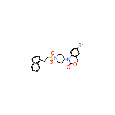 O=C1OCc2cc(Br)ccc2N1C1CCN(S(=O)(=O)CCc2cccc3ccccc23)CC1